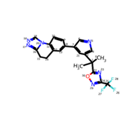 CC(C)(c1cncc(-c2ccc3c(c2)CCc2nncn2-3)c1)c1nc(C(F)(F)F)no1